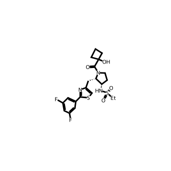 CCS(=O)(=O)N[C@H]1CCN(C(=O)C2(O)CCC2)[C@H]1Cc1csc(-c2cc(F)cc(F)c2)n1